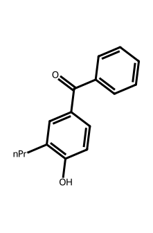 CCCc1cc(C(=O)c2ccccc2)ccc1O